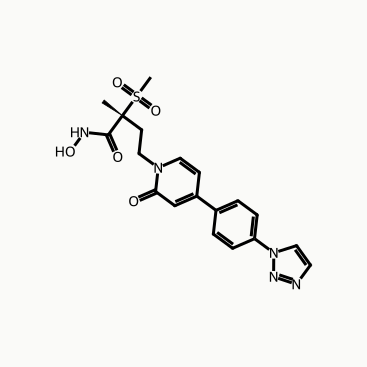 C[C@@](CCn1ccc(-c2ccc(-n3ccnn3)cc2)cc1=O)(C(=O)NO)S(C)(=O)=O